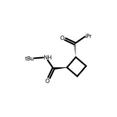 CC(C)C(=O)[C@@H]1CC[C@H]1C(=O)NC(C)(C)C